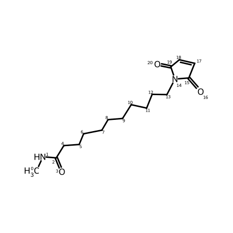 CNC(=O)CCCCCCCCCCN1C(=O)C=CC1=O